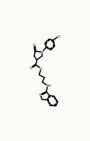 O=C(OCCCNC1=NCc2ccccc21)C1CC(=O)N(c2ccc(Cl)cc2)C1